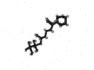 CC(F)(F)C(F)(F)CC(F)CCSC(=O)c1ccccc1